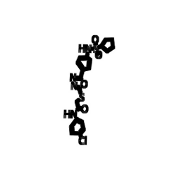 O=C(CSc1nnc(-c2ccc(NS(=O)(=O)C3CCCC3)cc2)o1)Nc1ccc(Cl)cc1